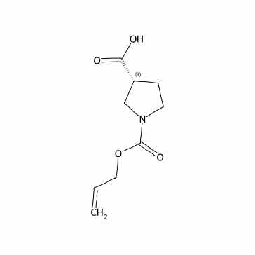 C=CCOC(=O)N1CC[C@@H](C(=O)O)C1